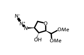 COC(OC)[C@@H]1OC[C@H](N=[N+]=[N-])[C@H]1O